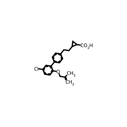 C=C(C)COc1ccc(Cl)cc1-c1ccc(CCC2CC2C(=O)O)cc1